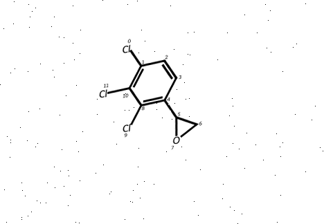 Clc1ccc(C2CO2)c(Cl)c1Cl